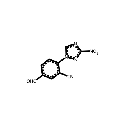 N#Cc1cc(C=O)ccc1-n1cnc([N+](=O)[O-])n1